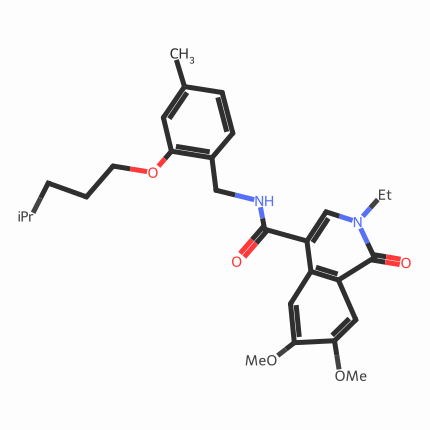 CCn1cc(C(=O)NCc2ccc(C)cc2OCCCC(C)C)c2cc(OC)c(OC)cc2c1=O